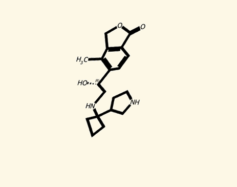 Cc1c([C@@H](O)CNC2(C3CCNC3)CCC2)ccc2c1COC2=O